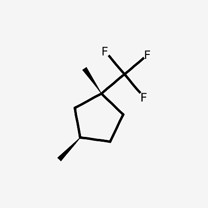 C[C@@H]1CC[C@@](C)(C(F)(F)F)C1